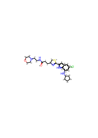 O=C(CCC1CSC(c2cc3cc(Cl)cc(NC4CCCC4)c3[nH]2)=N1)NCCN1CCOCC1